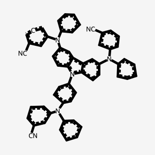 N#Cc1cccc(N(c2ccccc2)c2ccc(-n3c4ccc(N(c5ccccc5)c5cccc(C#N)c5)cc4c4cc(N(c5ccccc5)c5cccc(C#N)c5)ccc43)cc2)c1